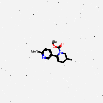 CNc1ccc(C2=CCC(C)CN2C(=O)OC(C)(C)C)cn1